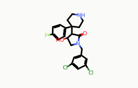 O=C1C(C2(c3ccc(F)cc3)CCNCC2)C(O)CN1Cc1cc(Cl)cc(Cl)c1